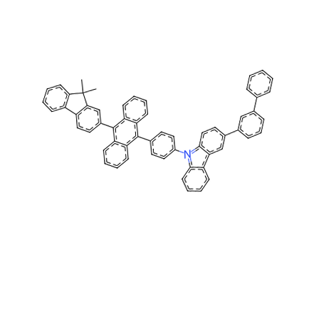 CC1(C)c2ccccc2-c2ccc(-c3c4ccccc4c(-c4ccc(-n5c6ccccc6c6cc(-c7cccc(-c8ccccc8)c7)ccc65)cc4)c4ccccc34)cc21